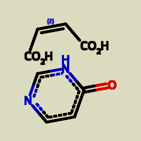 O=C(O)/C=C\C(=O)O.O=c1ccnc[nH]1